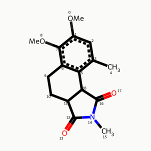 COc1cc(C)c2c(c1OC)CCC1C(=O)N(C)C(=O)C21